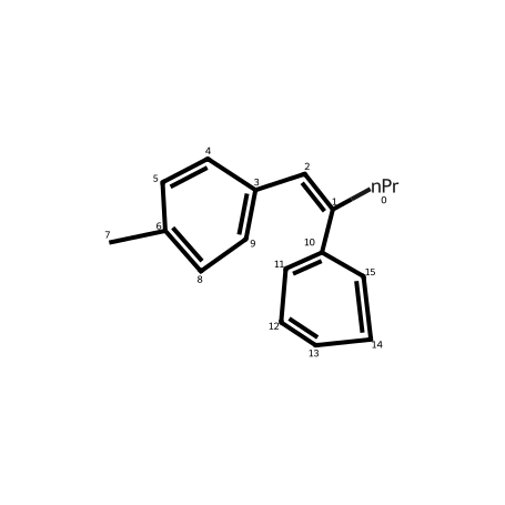 CCCC(=Cc1ccc(C)cc1)c1ccccc1